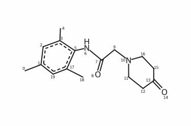 Cc1cc(C)c(NC(=O)CN2CCC(=O)CC2)c(C)c1